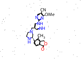 COc1nc(N/C=C(\C=N)CN2CCN[C@H](c3ccc4c(c3C)COC4=O)C2)ncc1C#N